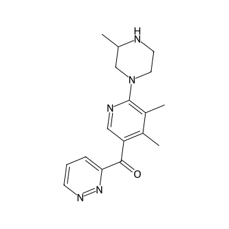 Cc1c(C(=O)c2cccnn2)cnc(N2CCNC(C)C2)c1C